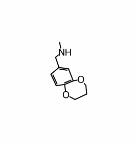 CNCc1ccc2c(c1)OCCCO2